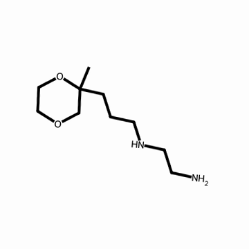 CC1(CCCNCCN)COCCO1